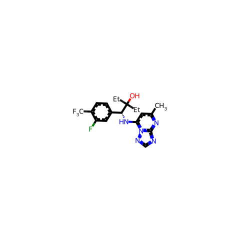 CCC(O)(CC)[C@H](Nc1cc(C)nc2ncnn12)c1ccc(C(F)(F)F)c(F)c1